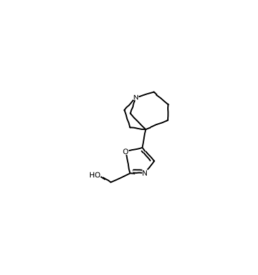 OCc1ncc(C23CCCN(CC2)C3)o1